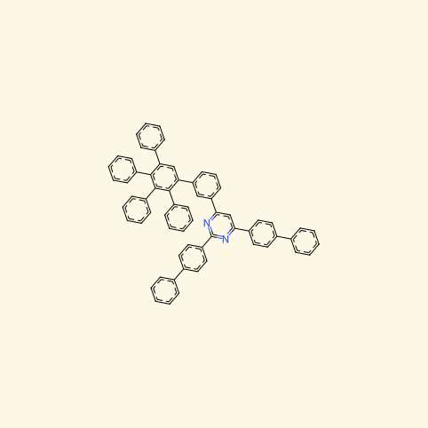 c1ccc(-c2ccc(-c3cc(-c4cccc(-c5cc(-c6ccccc6)c(-c6ccccc6)c(-c6ccccc6)c5-c5ccccc5)c4)nc(-c4ccc(-c5ccccc5)cc4)n3)cc2)cc1